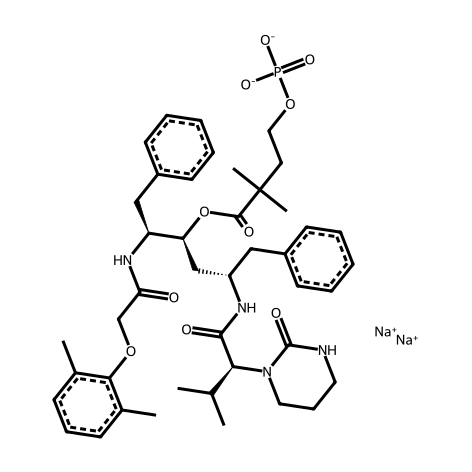 Cc1cccc(C)c1OCC(=O)N[C@@H](Cc1ccccc1)[C@H](C[C@H](Cc1ccccc1)NC(=O)[C@H](C(C)C)N1CCCNC1=O)OC(=O)C(C)(C)CCOP(=O)([O-])[O-].[Na+].[Na+]